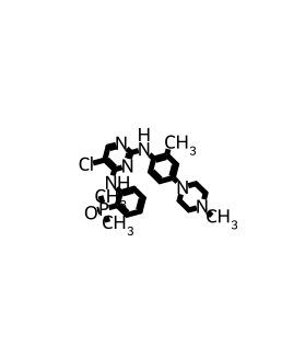 Cc1cc(N2CCN(C)CC2)ccc1Nc1ncc(Cl)c(Nc2ccccc2P(C)(C)=O)n1